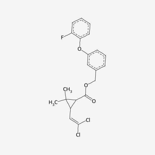 CC1(C)C(C=C(Cl)Cl)C1C(=O)OCc1cccc(Oc2ccccc2F)c1